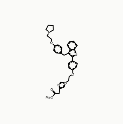 COC(=O)Cc1cn(CCOc2ccc(-c3sc4ccccc4c3Cc3ccc(OCCN4CCCC4)cc3)cc2)cn1